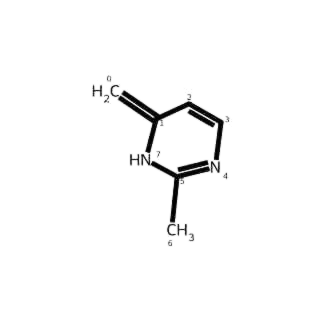 C=C1C=CN=C(C)N1